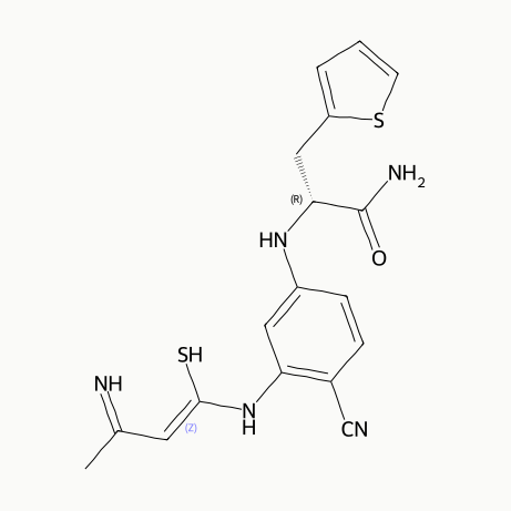 CC(=N)/C=C(\S)Nc1cc(N[C@H](Cc2cccs2)C(N)=O)ccc1C#N